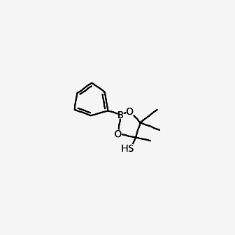 CC1(C)OB(c2ccccc2)OC1(C)S